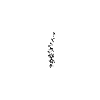 FCCCCCCCCC1CCC(C2CCC(C3CCC(CF)CC3)CC2)CC1